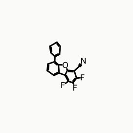 N#Cc1c(F)c(F)c(F)c2c1oc1c(-c3ccccc3)cccc12